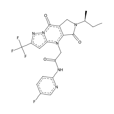 CC[C@H](C)N1Cc2c(n(CC(=O)Nc3ccc(F)cn3)c3cc(C(F)(F)F)nn3c2=O)C1=O